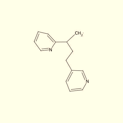 [CH2]C(CCc1cccnc1)c1ccccn1